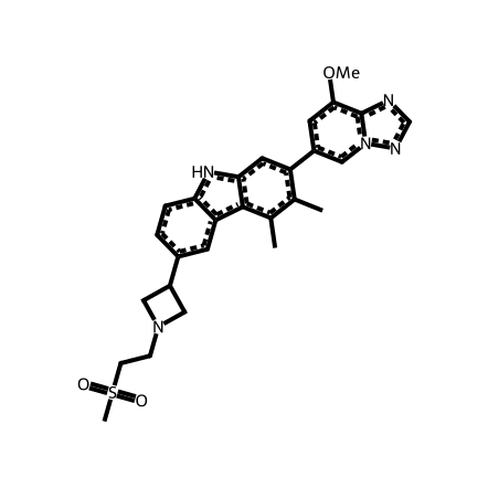 COc1cc(-c2cc3[nH]c4ccc(C5CN(CCS(C)(=O)=O)C5)cc4c3c(C)c2C)cn2ncnc12